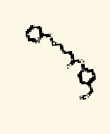 O=C(CCCSSc1ccccn1)Oc1ccc(CO)cc1